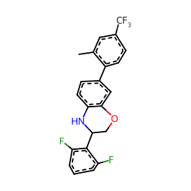 Cc1cc(C(F)(F)F)ccc1-c1ccc2c(c1)OCC(c1c(F)cccc1F)N2